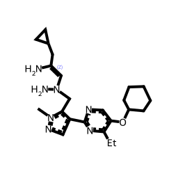 CCc1nc(-c2cnn(C)c2CN(N)/C=C(\N)CC2CC2)ncc1OC1CCCCC1